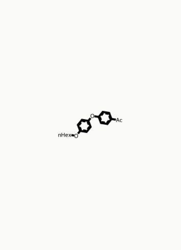 CCCCCCOc1ccc(Oc2ccc(C(C)=O)cc2)cc1